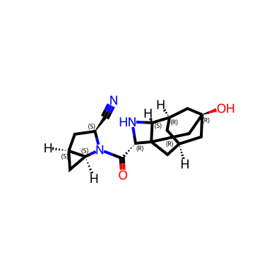 N#C[C@@H]1C[C@@H]2C[C@@H]2N1C(=O)[C@@H]1N[C@H]2[C@@H]3C[C@@H]4CC12C[C@@](O)(C4)C3